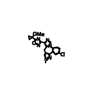 COC1(c2nc(-c3ncn4c3Cc3cn(C)nc3-c3cc(Cl)ccc3-4)no2)CC1